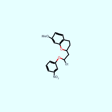 [CH2]CC(CC1CCc2ccc(OC)cc2O1)Oc1cccc([N+](=O)[O-])c1